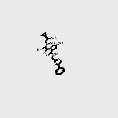 CC(C)(C)C(C(=O)N1CC(O)CC1C(=O)NCC1=NCC(c2ccccc2)S1)N(N)CC(N)C1CC1